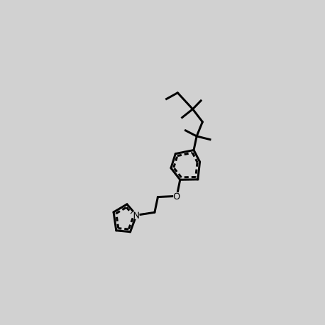 CCC(C)(C)CC(C)(C)c1ccc(OCCn2cccc2)cc1